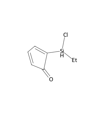 CC[SiH](Cl)C1=CC=CC1=O